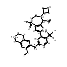 CCc1cc2c(cc1Nc1ncc(C(F)(F)F)c(-c3cc4c(s3)C(O)N(C3COC3)CCS4(=O)=O)n1)CCNC2